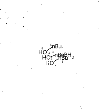 B.CCCCO.CCCCO.CCCCO